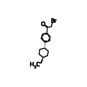 CC[C@H]1CC[C@H](c2ccc(C(=O)CBr)cc2)CC1